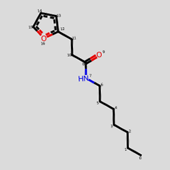 CCCCCCCNC(=O)CCc1ccco1